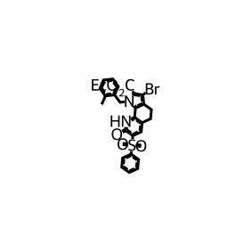 CCOC(=O)c1c(Br)c2c(n1Cc1ccccc1C)-c1[nH]c(=O)c(S(=O)(=O)c3ccccc3)cc1CC2